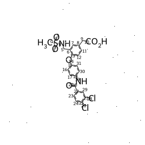 CS(=O)(=O)NCc1cc(CC(=O)O)ccc1Oc1ccc(NC(=O)c2ccc(Cl)c(Cl)c2)cc1